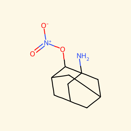 NC12CC3CC(CC(C3)C1O[N+](=O)[O-])C2